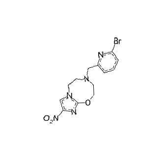 O=[N+]([O-])c1cn2c(n1)OCCN(Cc1cccc(Br)n1)CC2